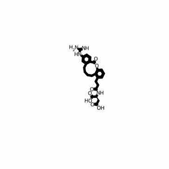 N=C(N)Nc1ccc2c(c1)CCCCc1c(CCC(=O)N[C@@H](CC(=O)O)C(=O)O)cccc1OC2=O